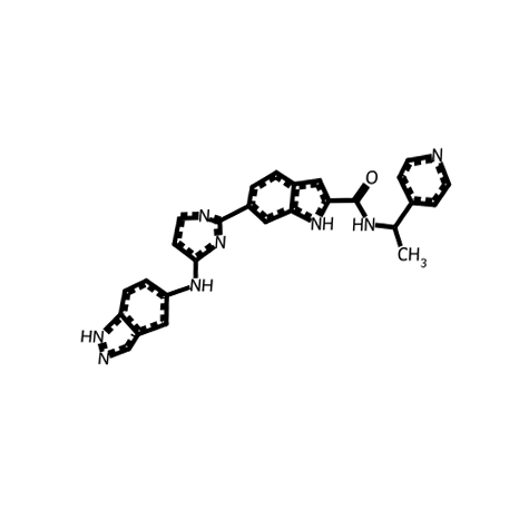 CC(NC(=O)c1cc2ccc(-c3nccc(Nc4ccc5[nH]ncc5c4)n3)cc2[nH]1)c1ccncc1